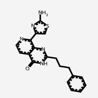 Nc1nc(-c2nccc3c(=O)[nH]c(CCCc4ccccc4)nc23)cs1